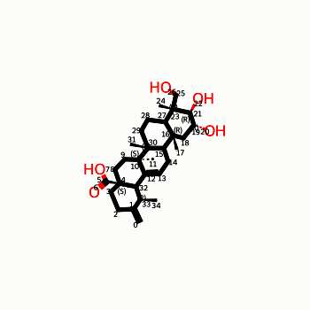 C=C1CC[C@]2(C(=O)O)CC[C@]3(C)C(=CCC4[C@@]5(C)C[C@@H](O)[C@H](O)[C@@](C)(CO)C5CC[C@]43C)C2[C@H]1C